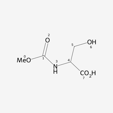 COC(=O)NC(CO)C(=O)O